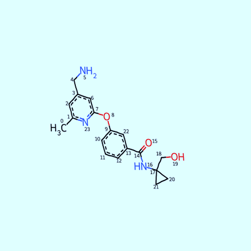 Cc1cc(CN)cc(Oc2cccc(C(=O)NC3(CO)CC3)c2)n1